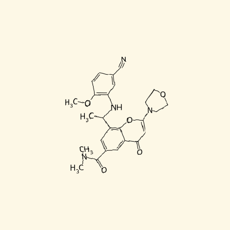 COc1ccc(C#N)cc1NC(C)c1cc(C(=O)N(C)C)cc2c(=O)cc(N3CCOCC3)oc12